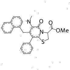 COC(=O)C1CSc2c(-c3ccccc3)c(Cc3cccc4ccccc34)c(N(C)C)c(=O)n21